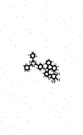 [2H]c1c([2H])c([2H])c2c(sc3ccc4c(c32)c2c3ccccc3c3ccccc3c2n4-c2ccc(-c3nc(-c4ccccc4)nc(-c4ccccc4)n3)cc2)c1[2H]